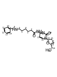 O=C(CCCCCNCc1ccccc1)Nc1ccn(C2CSC(CO)O2)c(=O)n1